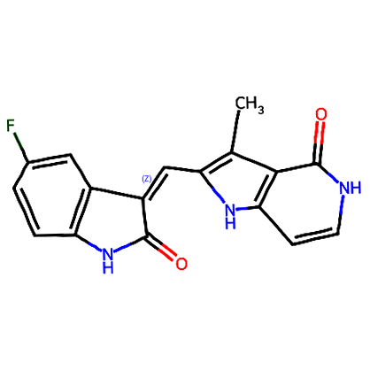 Cc1c(/C=C2\C(=O)Nc3ccc(F)cc32)[nH]c2cc[nH]c(=O)c12